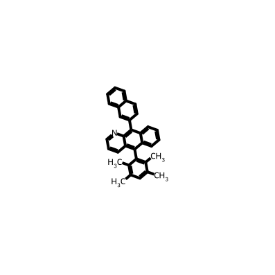 Cc1cc(C)c(C)c(-c2c3ccccc3c(-c3ccc4ccccc4c3)c3ncccc23)c1C